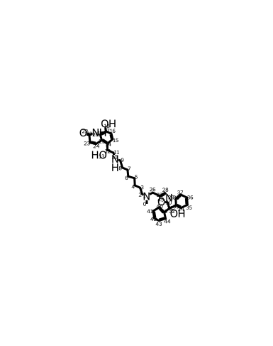 CN(CCCCCCCCNC[C@H](O)c1ccc(O)c2[nH]c(=O)ccc12)Cc1cnc(C(O)(c2ccccc2)c2ccccc2)o1